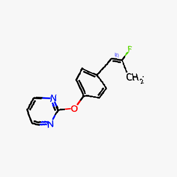 [CH2]/C(F)=C\c1ccc(Oc2ncccn2)cc1